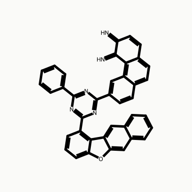 N=C1C=Cc2ccc3ccc(-c4nc(-c5ccccc5)nc(-c5cccc6oc7cc8ccccc8cc7c56)n4)cc3c2C1=N